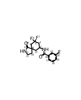 O=C(NC1CC(F)(F)CC2(CCNC2=O)C1)c1cccc(F)c1